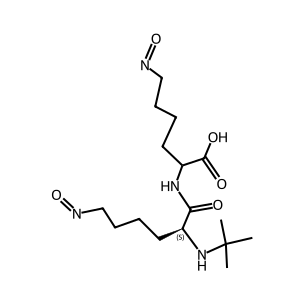 CC(C)(C)N[C@@H](CCCCN=O)C(=O)NC(CCCCN=O)C(=O)O